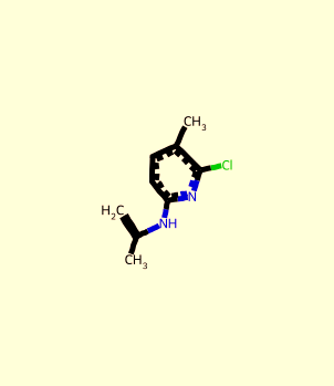 C=C(C)Nc1ccc(C)c(Cl)n1